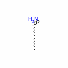 CCCCCCCCCCCCCCCCCCC(C)c1ccc2c(N)cccc2c1